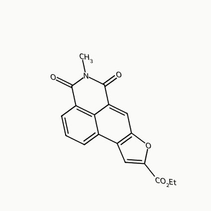 CCOC(=O)c1cc2c(cc3c4c(cccc42)C(=O)N(C)C3=O)o1